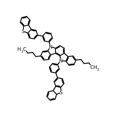 CCCCc1ccc2c(c1)c1ccc3c(c4ccc(CCCC)cc4n3-c3cccc(-c4ccc5sc6ccccc6c5c4)c3)c1n2-c1cccc(-c2ccc3c(c2)C2C=CC=CC2S3)c1